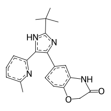 Cc1cccc(-c2[nH]c(C(C)(C)C)nc2-c2ccc3c(c2)NC(=O)CO3)n1